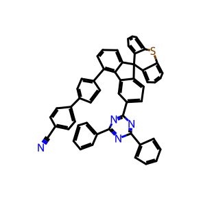 N#Cc1ccc(-c2ccc(-c3cccc4c3-c3cc(-c5nc(-c6ccccc6)nc(-c6ccccc6)n5)ccc3C43c4ccccc4Sc4ccccc43)cc2)cc1